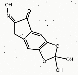 O=C1/C(=N\O)Cc2cc3c(cc21)OC(O)(O)O3